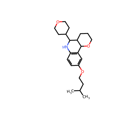 CC(C)CCOc1ccc2c(c1)C1OCCCC1C(C1CCOCC1)N2